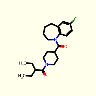 CCC(CC)C(=O)N1CCC(C(=O)N2CCCCc3cc(Cl)ccc32)CC1